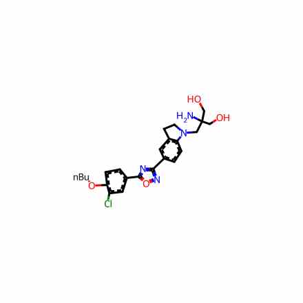 CCCCOc1ccc(-c2nc(-c3ccc4c(c3)CCN4CC(N)(CO)CO)no2)cc1Cl